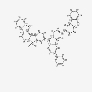 CC1(C)c2cc(-n3c4ccc(-c5ccccc5)cc4c4cc(-c5ccc6oc7ccccc7c6c5)ccc43)ccc2-c2c1ccc1c2sc2ccccc21